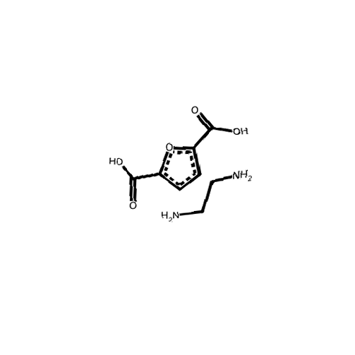 NCCN.O=C(O)c1ccc(C(=O)O)o1